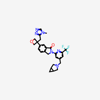 Cn1cnnc1CC1(c2ccc3c(c2)C(=O)N(c2cc(CN4CC5CC5C4)cc(C(F)(F)F)n2)C3)COC1